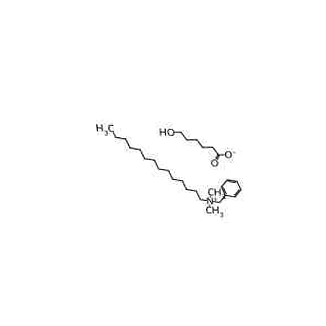 CCCCCCCCCCCCCC[N+](C)(C)Cc1ccccc1.O=C([O-])CCCCCO